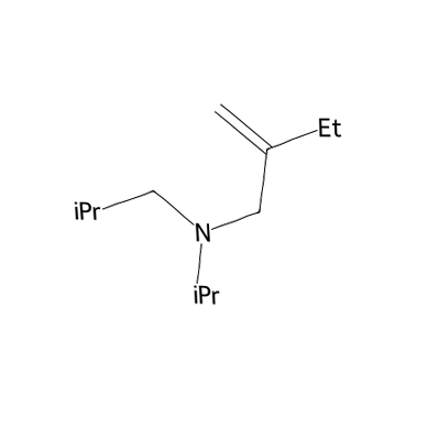 C=C(CC)CN(CC(C)C)C(C)C